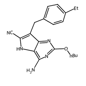 CCCCOc1nc(N)c2[nH]c(C#N)c(Cc3ccc(CC)cc3)c2n1